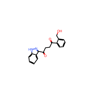 O=C(CCC(=O)c1n[nH]c2ccccc12)c1ccccc1CO